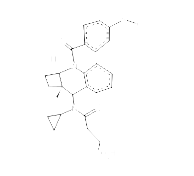 O=C(O)CCC(=O)N(C1CC1)C1c2ccccc2N(C(=O)c2ccc(SC(F)(F)F)cc2)[C@@H]2CC[C@@H]12